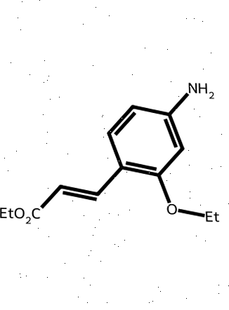 CCOC(=O)C=Cc1ccc(N)cc1OCC